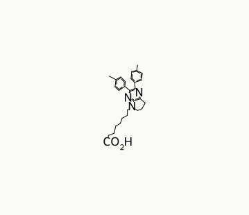 Cc1ccc(-c2nc3c(nc2-c2ccc(C)cc2)N(CCCCCCCC(=O)O)CCC3)cc1